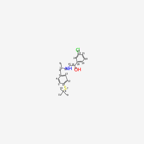 CC(Cc1ccc(SC(C)(C)C)cc1)NCC(O)c1cccc(Cl)c1